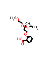 CCOC(C)(CCOc1ccccc1C(=O)O)OCCOC